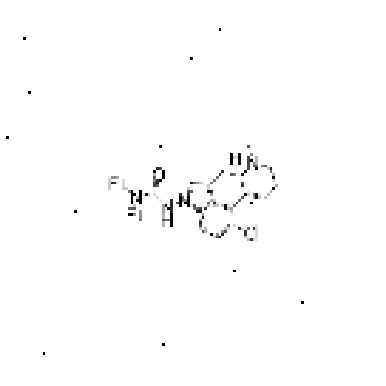 CCN(CC)C(=O)Nn1cc2c3c(c(Cl)ccc31)C1=CCCN(C)[C@@H]1C2